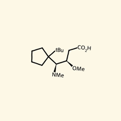 CN[C@H]([C@@H](CC(=O)O)OC)C1(C(C)(C)C)CCCC1